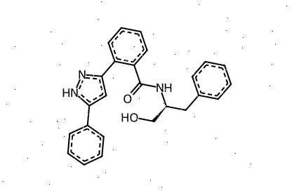 O=C(N[C@H](CO)Cc1ccccc1)c1ccccc1-c1cc(-c2ccccc2)[nH]n1